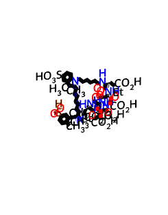 CC\N=C(/C=C/C=C/C=C/C=C1/N(CCCCCC(=O)N[C@H](CCC(=O)O)C(=O)N[C@H](CCC(=O)O)C(=O)N[C@H](CCC(=O)O)C(=O)N[C@H](CCC(=O)O)C(=O)N[C@H](CCC(=O)O)C(=O)NCCOCC)c2ccc(S(=O)(=O)O)cc2C1(C)C)C(C)(C)c1cc([SH](=O)=O)ccc1C